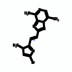 Cc1ncc(C)n2nc(/C=C/c3nc(Br)cn3C)nc12